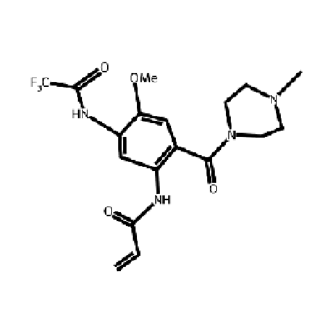 C=CC(=O)Nc1cc(NC(=O)C(F)(F)F)c(OC)cc1C(=O)N1CCN(C)CC1